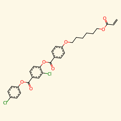 C=CC(=O)OCCCCCCOc1ccc(C(=O)Oc2ccc(C(=O)Oc3ccc(Cl)cc3)cc2Cl)cc1